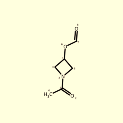 CC(=O)N1CC(O[C]=O)C1